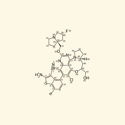 N#Cc1c(N)sc2c(F)ccc(-c3c(Cl)c4c5c(nc(OC[C@@]67CCCN6C[C@H](F)C7)nc5c3F)N3CCC[C@@H]3CC(CO)O4)c12